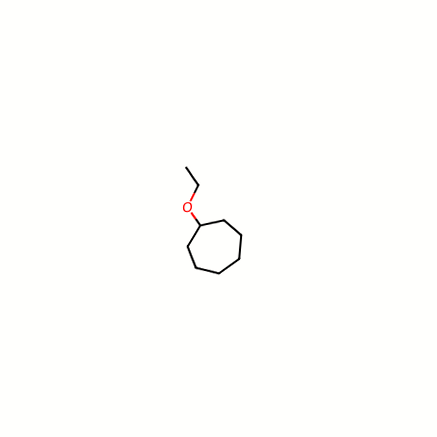 CCOC1CCCCCC1